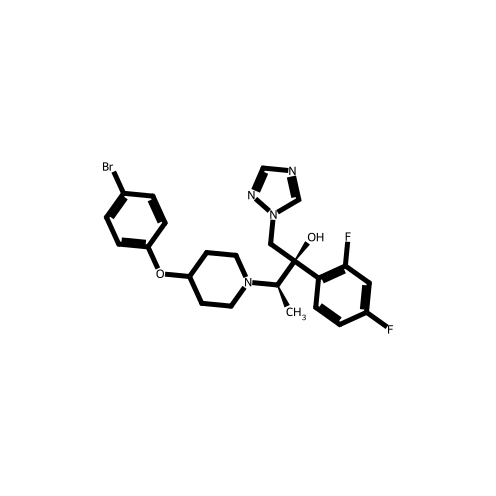 C[C@@H](N1CCC(Oc2ccc(Br)cc2)CC1)[C@](O)(Cn1cncn1)c1ccc(F)cc1F